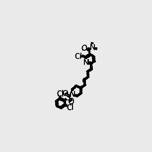 CN(C)C(=O)c1ccc(CCCCCC2CCN(S(=O)(=O)c3c(Cl)cccc3Cl)CC2)nc1Cl